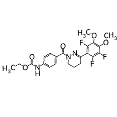 CCOC(=O)Nc1ccc(C(=O)N2CCCC(c3c(F)c(F)c(OC)c(OC)c3F)=N2)cc1